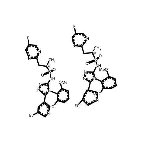 CCc1cncc(-c2nnc(NS(=O)(=O)[C@@H](C)Cc3ncc(F)cn3)n2-c2c(OC)cccc2OC)c1.CCc1cncc(-c2nnc(NS(=O)(=O)[C@H](C)Cc3ncc(F)cn3)n2-c2c(OC)cccc2OC)c1